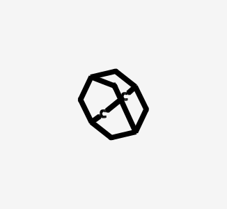 [CH]1C2CC3CCC(C2)CC1C3